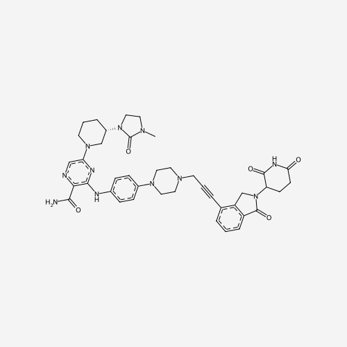 CN1CCN([C@H]2CCCN(c3cnc(C(N)=O)c(Nc4ccc(N5CCN(CC#Cc6cccc7c6CN(C6CCC(=O)NC6=O)C7=O)CC5)cc4)n3)C2)C1=O